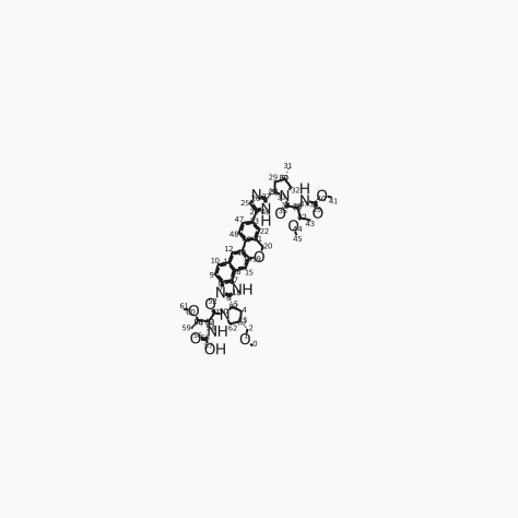 COC[C@H]1C[C@@H](c2nc3ccc4cc5c(cc4c3[nH]2)OCc2cc(-c3cnc([C@@H]4C[C@H](C)CN4C(=O)[C@@H](NC(=O)OC)C(C)OC)[nH]3)ccc2-5)N(C(=O)[C@@H](NC(=O)O)[C@@H](C)OC)C1